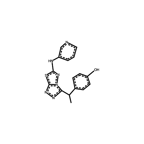 CC(c1ccc(O)cc1)c1nnc2sc(Nc3cccnc3)nn12